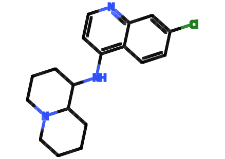 Clc1ccc2c(NC3CCCN4CCCCC34)ccnc2c1